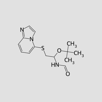 CC(C)(C)OC(CSc1cccc2nccn12)NC=O